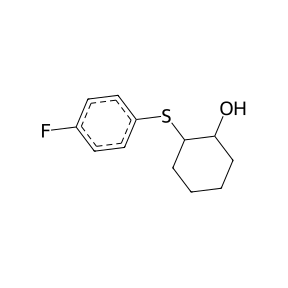 OC1CCCCC1Sc1ccc(F)cc1